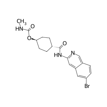 CNC(=O)O[C@H]1CC[C@H](C(=O)Nc2cc3cc(Br)ccc3cn2)CC1